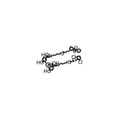 O=S(=O)(c1cccc(CCCCOCCCCCCNC[C@H](O)c2ccc(O)c(CO)c2)c1)C1CCCC1.OCc1cc([C@@H](O)CNCCCCCCOCCOCc2c(Cl)cccc2Cl)ccc1O